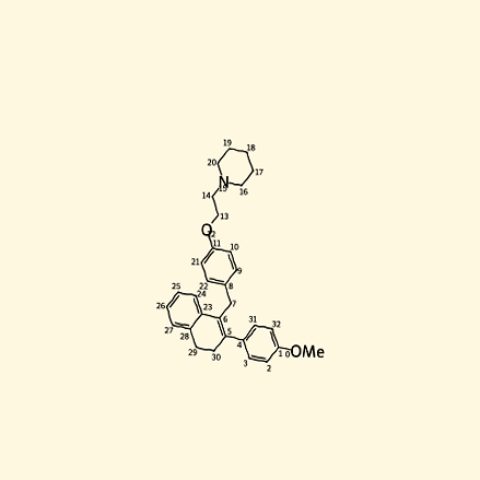 COc1ccc(C2=C(Cc3ccc(OCCN4CCCCC4)cc3)c3ccccc3CC2)cc1